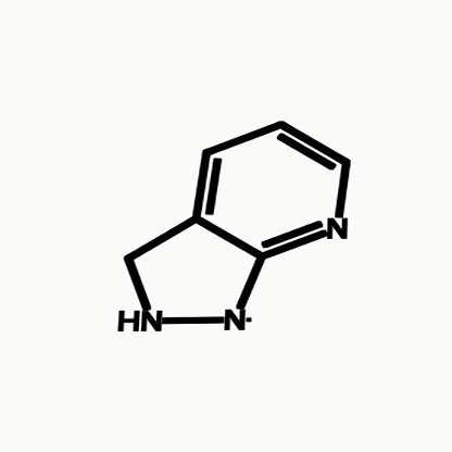 c1cnc2c(c1)CN[N]2